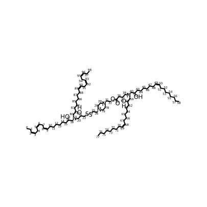 CC/C=C\C/C=C\C/C=C\CCCCCC[C@H](O)CN(CCCSSCCN1CCN(CCOC(=O)CCCN(C[C@H](O)CCCCCC/C=C\CCCCCCCC)C[C@H](O)CCCCCC/C=C\CCCCCCCC)CC1)C[C@@H](O)CCCCCC/C=C\C/C=C\C/C=C\CC